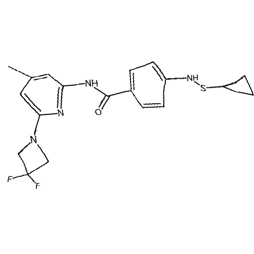 Cc1cc(NC(=O)c2ccc(NSC3CC3)cc2)nc(N2CC(F)(F)C2)c1